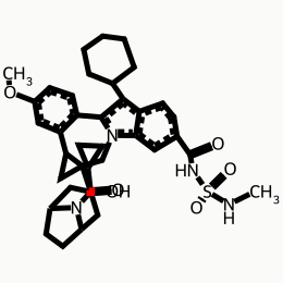 CNS(=O)(=O)NC(=O)c1ccc2c(C3CCCCC3)c3n(c2c1)CC1(C(=O)N2C4CCC2CC(O)(C2CC2)C4)CC1c1cc(OC)ccc1-3